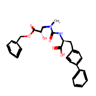 CN(C[C@H](O)C(=O)OCc1ccccc1)C(=O)N[C@@H](Cc1ccc(-c2ccccc2)cc1)C(=O)O